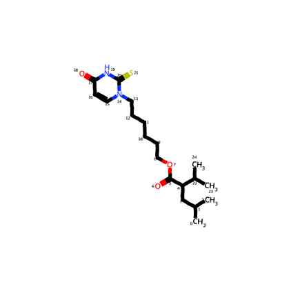 CC(C)CC(C(=O)OCCCCCCn1ccc(=O)[nH]c1=S)C(C)C